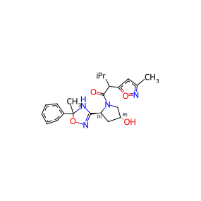 Cc1cc(C(C(=O)N2C[C@H](O)C[C@H]2C2=NOC(C)(c3ccccc3)N2)C(C)C)on1